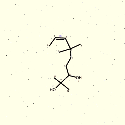 C/C=C\C(C)(C)CCC(O)C(C)(C)O